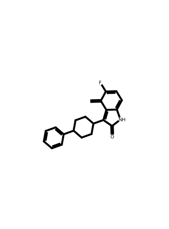 C=c1c(F)ccc2c1=C(C1CCC(c3ccccc3)CC1)C(=O)N2